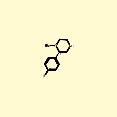 CC(C)(C)N1CCNC[C@H]1c1ccc(F)cc1